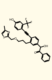 Cc1csc(COCCCc2cc(C(O)C(=O)c3ccccc3)ccc2C#Cc2ccc(O)cc2C(F)(F)F)n1